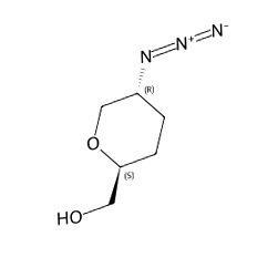 [N-]=[N+]=N[C@@H]1CC[C@@H](CO)OC1